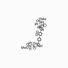 COC(=O)N[C@H](C(=O)N1CCCC1c1nc(-c2ccc(-c3ccc(-c4c[nH]c(C56CCC(CN5C(=O)[C@@H](NC(=O)OC)C(C)C)C6)n4)c4c3OCO4)cc2)c[nH]1)C(C)C